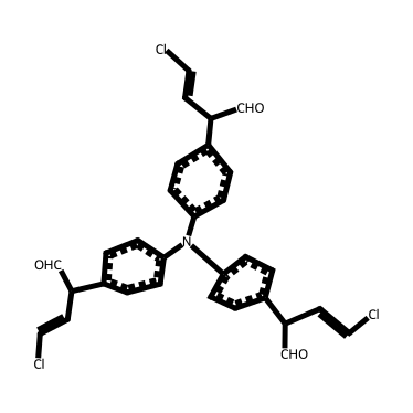 O=CC(C=CCl)c1ccc(N(c2ccc(C(C=O)C=CCl)cc2)c2ccc(C(C=O)C=CCl)cc2)cc1